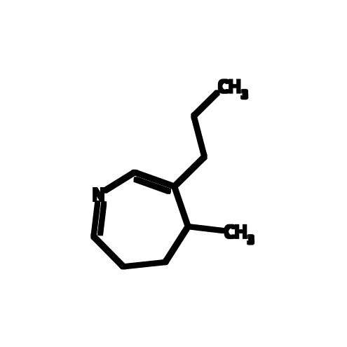 CCCC1=CN=CCCC1C